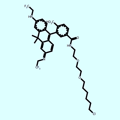 CC1(C)C2=CC(=NCC(F)(F)F)C=CC2=C(c2cc(C(=O)NCCOCCOCCCCCCCl)ccc2C(=O)O)c2ccc(NCC(F)(F)F)cc21